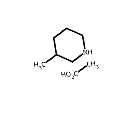 CC(=O)O.CC1CCCNC1